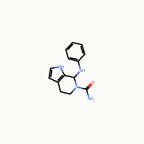 NC(=O)N1CCc2cc[nH]c2C1Nc1ccccc1